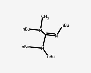 CCCC/N=C(\N(C)CCCC)N(CCCC)CCCC